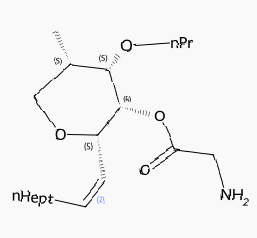 CCCCCCC/C=C\[C@@H]1OC[C@H](C)[C@H](OCCC)[C@@H]1OC(=O)CN